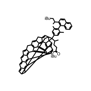 CCC(C)CC(C)c1ccc2ccccc2c1-c1c(C)cc(C2(C(C)CCC(=O)OC(C)CC)C34C=C5Cc6cc7c8c9c6c5c5c6c%10c%11c%12c%13c(cc%14cc%15cc(c%16c%15c(c%14%12)c%11c(c%168)c69)C7)=CC(C3)C%13C=%10C542)cc1C